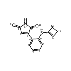 O=C1C=C(c2ccccc2SC2=CCC2)C(=O)N1